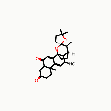 C[C@H]1[C@H]2CC[C@]3(O[C@]14CCC(C)(C)O4)C1=CC(=O)C4CC(=O)CCC4(C)C1=CC(N=O)C23